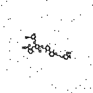 Cc1c(COc2cc(OCc3cncc(C#N)c3)c(CN3CCCC[C@H]3C(=O)O)cc2Cl)cccc1-c1cccc(OCCCN2CCC3(CC3)C(O)C2)c1C